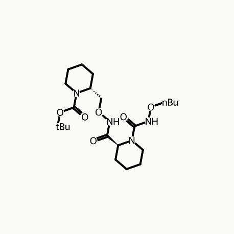 CCCCONC(=O)N1CCCC[C@H]1C(=O)NOC[C@H]1CCCCN1C(=O)OC(C)(C)C